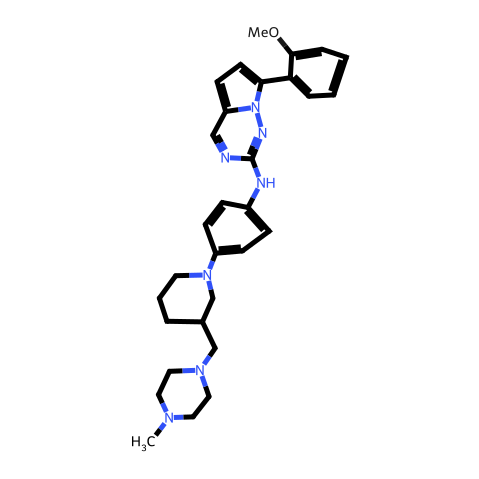 COc1ccccc1-c1ccc2cnc(Nc3ccc(N4CCCC(CN5CCN(C)CC5)C4)cc3)nn12